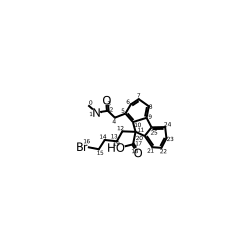 C[N]C(=O)Cc1cccc2c1C(CCCCBr)(C(=O)O)c1ccccc1-2